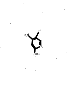 CC(C)COc1cc(N)c(F)cn1